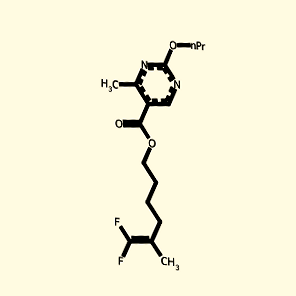 CCCOc1ncc(C(=O)OCCCCC(C)=C(F)F)c(C)n1